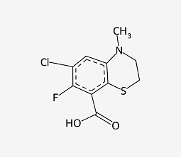 CN1CCSc2c1cc(Cl)c(F)c2C(=O)O